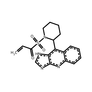 C=CC(=O)S(=O)(=O)N1CCCCC1c1c2ccccc2nc2nc[nH]c12